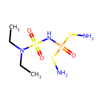 CCN(CC)S(=O)(=O)NP(=O)(SN)SN